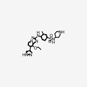 CCOc1c(-c2cn[nH]c2)ccn2nc(Nc3ccc(S(=O)(=O)NC4CCNCC4)cc3C)nc12